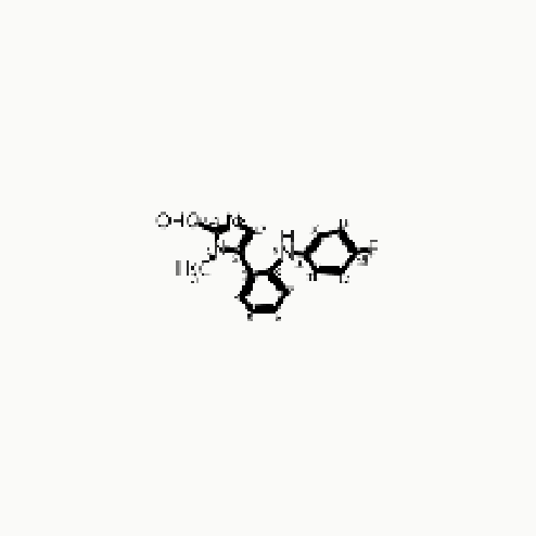 Cn1c(-c2ccccc2Nc2ccc(F)cc2)cnc1C=O